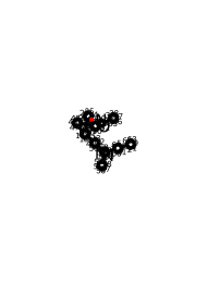 c1ccc(-c2ccc(-c3cc(-c4ccc(-c5ccc6c(c5)C(c5ccccc5)(c5ccc7oc(-c8ccccc8)nc7c5)c5ccccc5-6)cc4)nc(-c4ccccc4)n3)cc2)cc1